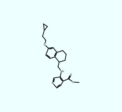 COC(=O)c1ccncc1NCC1CCCc2cc(OCCC3CC3)ccc21